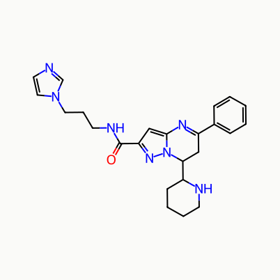 O=C(NCCCn1ccnc1)c1cc2n(n1)C(C1CCCCN1)CC(c1ccccc1)=N2